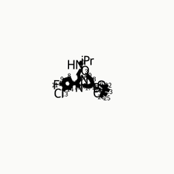 CC(C)NC(=O)Cc1c(-c2ccc(F)c(Cl)c2)nc2cc(B3OC(C)(C)C(C)(C)O3)ccn12